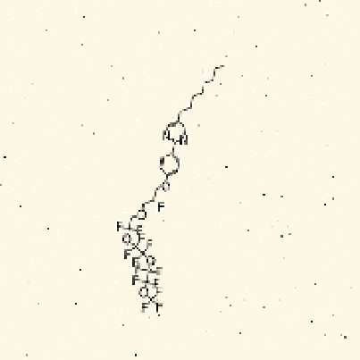 CCCCCCCCc1cnc(-c2ccc(OC[C@H](F)COCC(F)(F)OC(F)(F)C(F)(F)OC(F)(F)C(F)(F)OC(F)(F)F)cc2)nc1